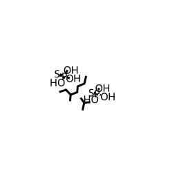 CC(C)C.CCCCC(C)CC.OP(O)(O)=S.OP(O)(O)=S